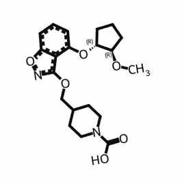 CO[C@@H]1CCC[C@H]1Oc1cccc2onc(OCC3CCN(C(=O)O)CC3)c12